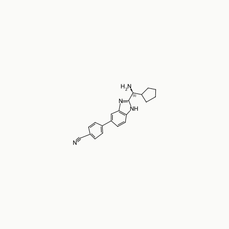 N#Cc1ccc(-c2ccc3[nH]c([C@@H](N)C4CCCC4)nc3c2)cc1